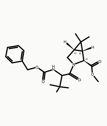 COC(=O)[C@@H]1[C@@H]2[C@H](CN1C(=O)C(NC(=O)OCc1ccccc1)C(C)(C)C)C2(C)C